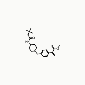 C=C(C(=O)OC)c1ccc(CN2CCC(NC(=O)OC(C)(C)C)CC2)cc1